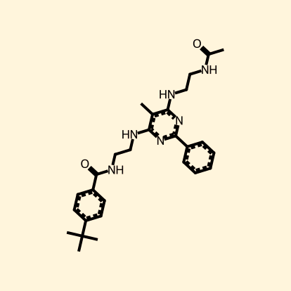 CC(=O)NCCNc1nc(-c2ccccc2)nc(NCCNC(=O)c2ccc(C(C)(C)C)cc2)c1C